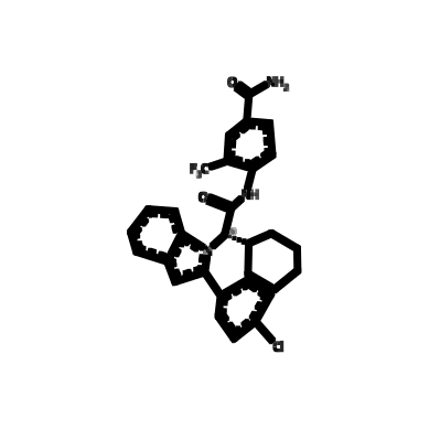 NC(=O)c1ccc(NC(=O)[C@H](C2CCCCC2)n2c(-c3ccc(Cl)cc3)cc3ccccc32)c(C(F)(F)F)c1